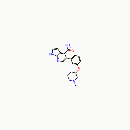 CN1CCCC(Oc2cccc(-c3cnc4[nH]c[c]c4c3C(N)=O)c2)C1